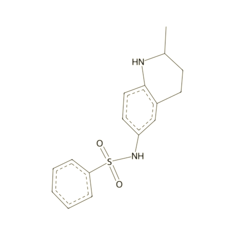 CC1CCc2cc(NS(=O)(=O)c3ccccc3)ccc2N1